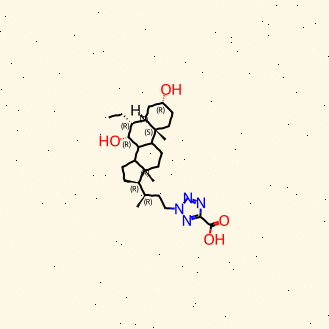 CC[C@H]1[C@@H](O)C2C3CC[C@H]([C@H](C)CCn4nnc(C(=O)O)n4)[C@@]3(C)CCC2[C@@]2(C)CC[C@@H](O)C[C@@H]12